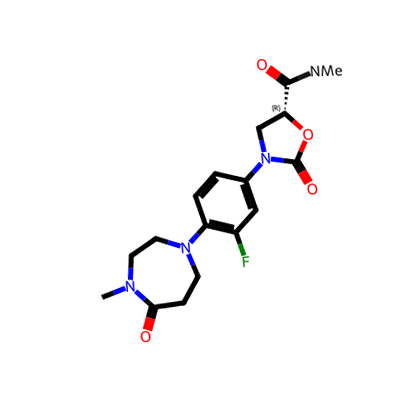 CNC(=O)[C@H]1CN(c2ccc(N3CCC(=O)N(C)CC3)c(F)c2)C(=O)O1